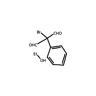 CCO.O=CC(Br)(C=O)c1ccccc1